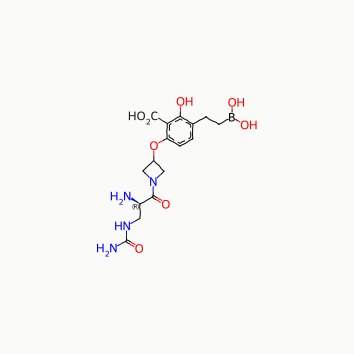 NC(=O)NC[C@@H](N)C(=O)N1CC(Oc2ccc(CCB(O)O)c(O)c2C(=O)O)C1